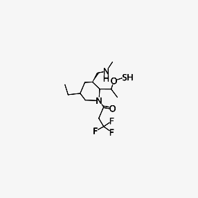 CCC1C[C@@H](CNC)C(C(C)OS)N(C(=O)CC(F)(F)F)C1